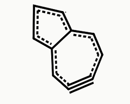 c1ccc2[c]ccc-2cc#1